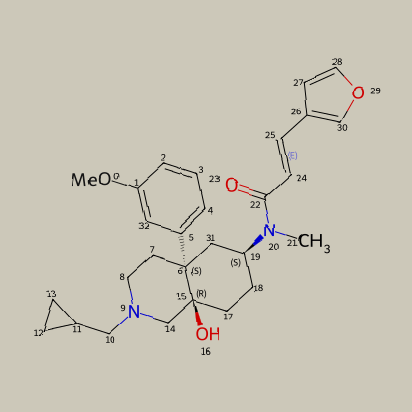 COc1cccc([C@@]23CCN(CC4CC4)C[C@@]2(O)CC[C@H](N(C)C(=O)/C=C/c2ccoc2)C3)c1